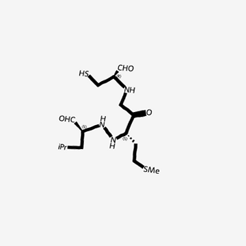 CSCC[C@H](NN[C@H](C=O)CC(C)C)C(=O)CN[C@H](C=O)CS